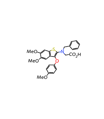 COc1ccc(Oc2c(N(CC(=O)O)Cc3ccccc3)sc3cc(OC)c(OC)cc23)cc1